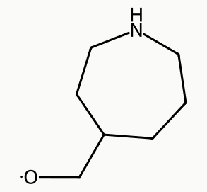 [O]CC1CCCNCC1